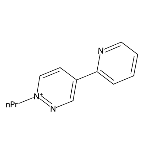 CCC[n+]1ccc(-c2ccccn2)cn1